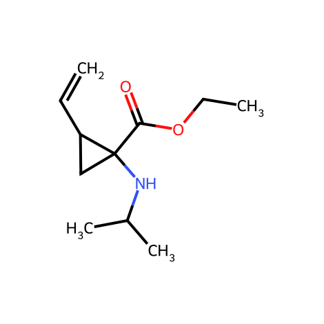 C=CC1CC1(NC(C)C)C(=O)OCC